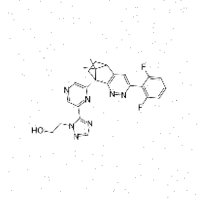 CC1(C)C2CC[C@]1(c1cncc(-c3ncnn3CCO)n1)c1nnc(-c3c(F)cccc3F)cc12